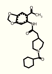 CC(=O)c1cc2c(cc1NC(=O)CC1CCN(C(=O)C3CCCCC3)CC1)OCO2